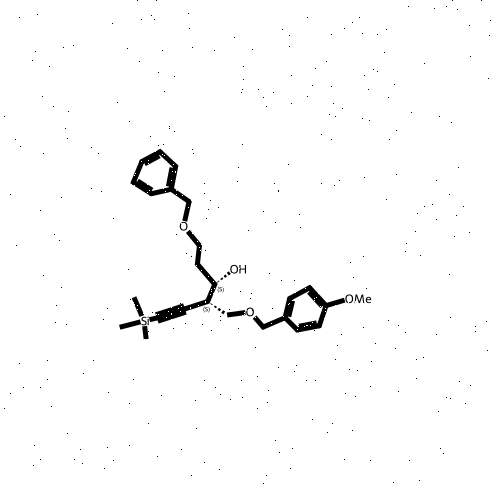 COc1ccc(COC[C@H](C#C[Si](C)(C)C)[C@@H](O)CCOCc2ccccc2)cc1